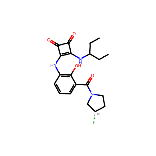 CCC(CC)Nc1c(Nc2cccc(C(=O)N3CC[C@H](F)C3)c2O)c(=O)c1=O